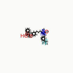 Cn1c(CCCc2ccc(OC(C)(Cc3ccccc3)C(=O)O)cc2)nn(Cc2cccc(C(F)(F)F)c2)c1=O